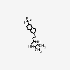 C=C1NC=C(CSc2ccc3cc(C(F)(F)F)ccc3c2)NC1=C